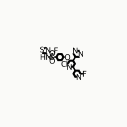 O=S(=O)(Nc1cscn1)c1cc(Cl)c(Oc2cnc(-c3ccnc(F)c3)cc2-c2cncnc2)cc1F